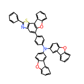 c1ccc(-c2nc3cc(-c4ccc(N(c5ccc6oc7ccccc7c6c5)c5ccc6oc7ccccc7c6c5)cc4)c4oc5ccccc5c4c3s2)cc1